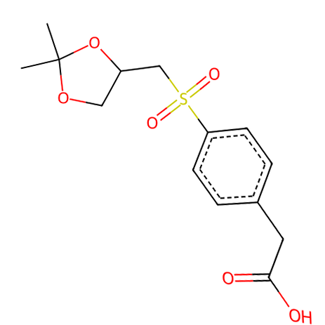 CC1(C)OCC(CS(=O)(=O)c2ccc(CC(=O)O)cc2)O1